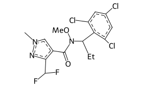 CCC(c1c(Cl)cc(Cl)cc1Cl)N(OC)C(=O)c1cn(C)nc1C(F)F